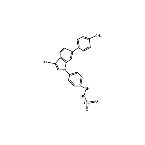 Cc1ccc(-c2ccc3c(C(C)C)cn(-c4ccc(NN[SH](=O)=O)cc4)c3c2)cc1